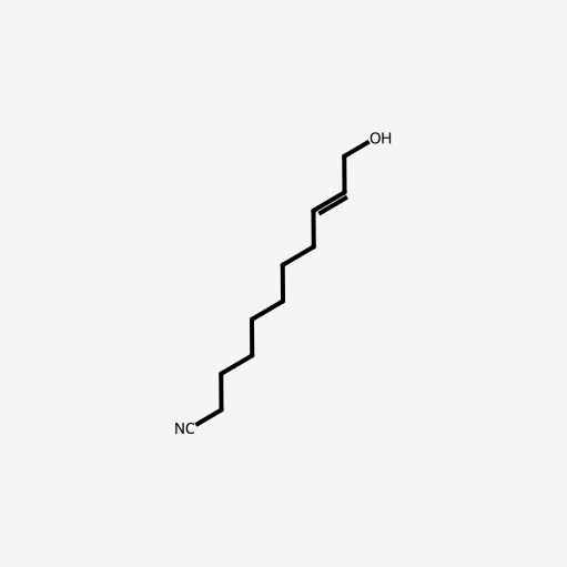 N#CCCCCCCC/C=C/CO